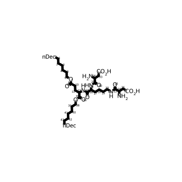 CCCCCCCCCCCCCCCCOC(=O)CCC(NC(=O)C(CCCCNC(=O)C(N)CC(=O)O)NC(=O)C(N)CC(=O)O)C(=O)OCCCCCCCCCCCCCCCC